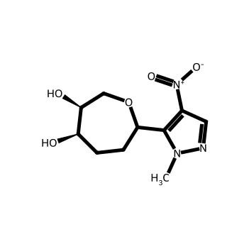 Cn1ncc([N+](=O)[O-])c1C1CC[C@@H](O)[C@@H](O)CO1